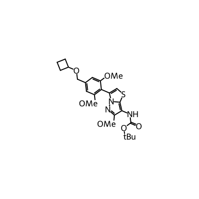 COc1cc(COC2CCC2)cc(OC)c1-c1csc2c(NC(=O)OC(C)(C)C)c(OC)nn12